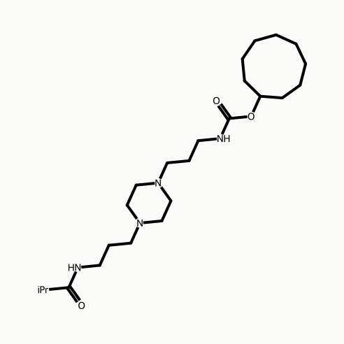 CC(C)C(=O)NCCCN1CCN(CCCNC(=O)OC2CCCCCCCC2)CC1